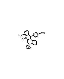 C1CN2CC12.CCOc1c(C)cccc1C(c1ccc(OC)cc1)C1CCCc2ccccc21